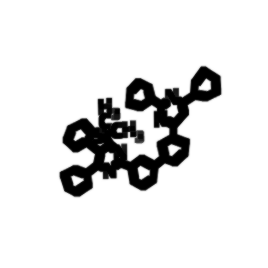 C[Si]1(C)c2ccccc2-c2c(-c3ccccc3)nc(-c3cccc(-c4cccc(-c5cc(-c6ccccc6)nc(-c6ccccc6)n5)c4)c3)nc21